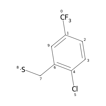 FC(F)(F)c1ccc(Cl)c(C[S])c1